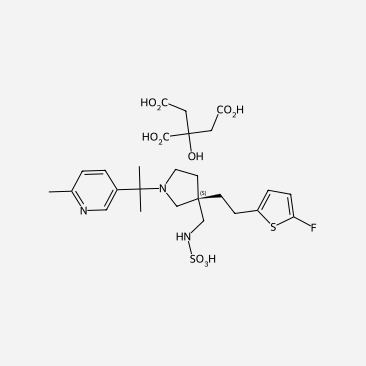 Cc1ccc(C(C)(C)N2CC[C@](CCc3ccc(F)s3)(CNS(=O)(=O)O)C2)cn1.O=C(O)CC(O)(CC(=O)O)C(=O)O